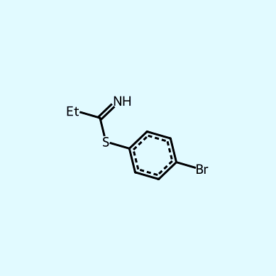 CCC(=N)Sc1ccc(Br)cc1